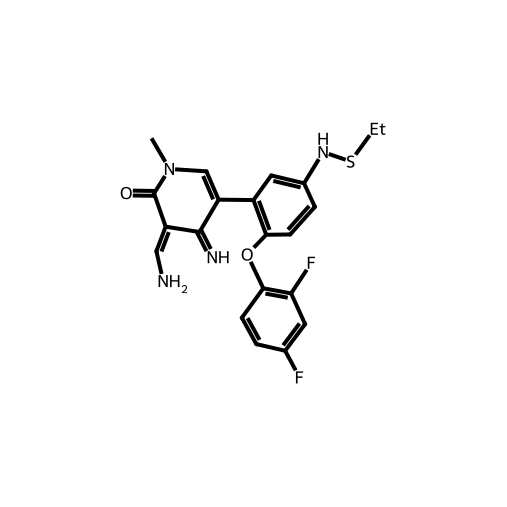 CCSNc1ccc(Oc2ccc(F)cc2F)c(C2=CN(C)C(=O)/C(=C/N)C2=N)c1